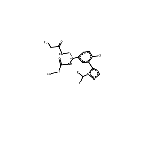 CC(C)(C)OC(=O)N[C@H](CNC(=O)CC(F)(F)F)c1ccc(Cl)c(-c2ncnn2C(F)F)c1